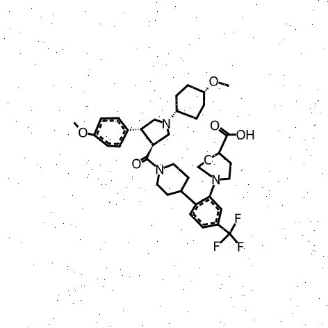 COc1ccc([C@@H]2CN([C@H]3CC[C@@H](OC)CC3)C[C@H]2C(=O)N2CCC(c3ccc(C(F)(F)F)cc3N3CCC(C(=O)O)CC3)CC2)cc1